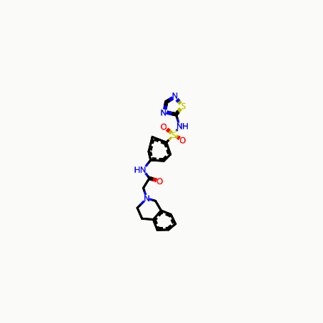 O=C(CN1CCc2ccccc2C1)Nc1ccc(S(=O)(=O)Nc2ncns2)cc1